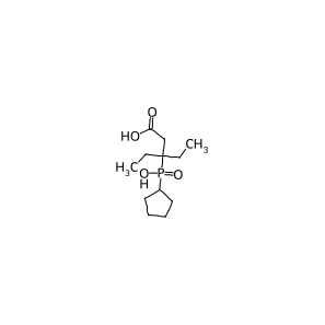 CCC(CC)(CC(=O)O)P(=O)(O)C1CCCC1